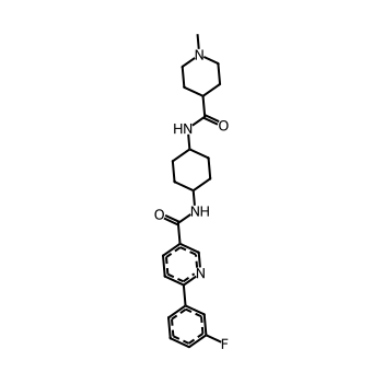 CN1CCC(C(=O)NC2CCC(NC(=O)c3ccc(-c4cccc(F)c4)nc3)CC2)CC1